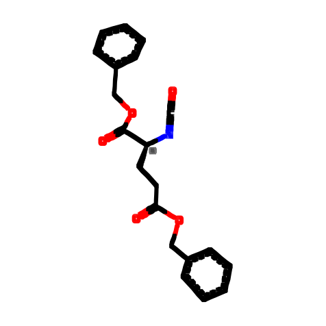 O=C=N[C@@H](CCC(=O)OCc1ccccc1)C(=O)OCc1ccccc1